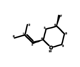 CC(C)=C[C@H]1C[C@@H](C)CCO1